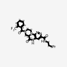 CC(C)CCNC(=O)c1cc2c(nn1)N1CCN(C(=O)c3ccccc3C(F)(F)F)CC1C(=O)N2